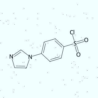 O=S(=O)(Cl)c1ccc(-n2ccnc2)cc1